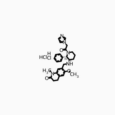 COc1cc2c(cc1CN[C@H]1CCCN(C(=O)Cn3ccnc3)[C@H]1c1ccccc1)N(C)C(=O)CC2.Cl.Cl